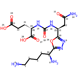 NCCCC[C@H](N)c1nnc([C@H](CC(N)=O)NC(=O)N[C@@H](CCC(=O)O)C(=O)O)o1